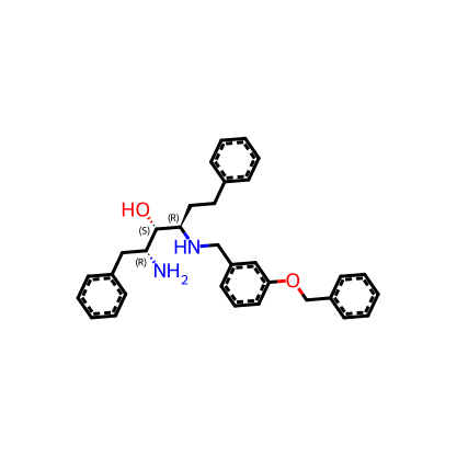 N[C@H](Cc1ccccc1)[C@H](O)[C@@H](CCc1ccccc1)NCc1cccc(OCc2ccccc2)c1